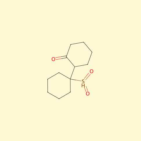 O=C1CCCCC1C1([SH](=O)=O)CCCCC1